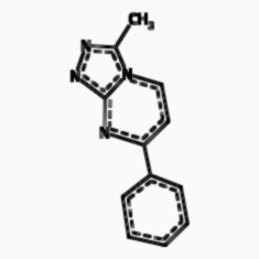 Cc1nnc2nc(-c3ccccc3)ccn12